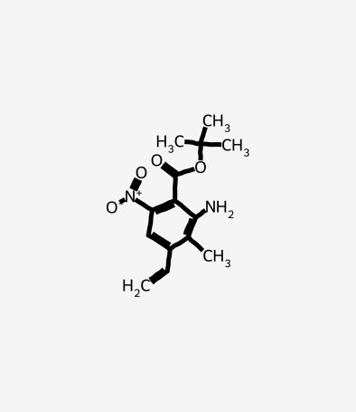 C=Cc1cc([N+](=O)[O-])c(C(=O)OC(C)(C)C)c(N)c1C